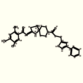 Nc1nc(N)c(C(=O)/N=C2\CNC3(CCN(C(=O)CCc4cc(-c5ccccc5)no4)CC3)N2)nc1Cl